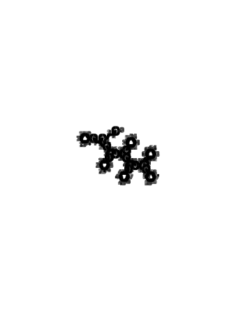 COCCCOC(COc1ccccc1)COC(COc1ccccc1)COC(COc1ccccc1)COC(COc1ccccc1)COC(COc1ccccc1)CSc1ccccc1